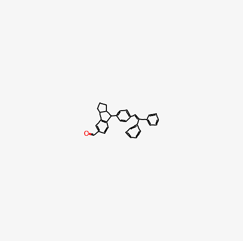 O=Cc1ccc2c(c1)C1CCCC1C2c1ccc(C=C(c2ccccc2)c2ccccc2)cc1